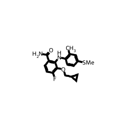 CSc1ccc(Nc2c(C(N)=O)ccc(F)c2OCC2CC2)c(C)c1